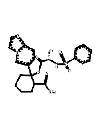 CNC(=S)C1CCCCC1(OC(=O)[C@@H](NS(=O)(=O)c1ccccc1)C(C)C)c1ccc2nccn2c1